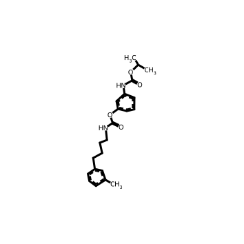 Cc1cccc(CCCCNC(=O)Oc2cccc(NC(=O)OC(C)C)c2)c1